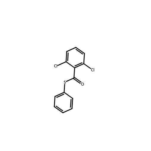 O=C(Sc1ccccc1)c1c(Cl)cccc1Cl